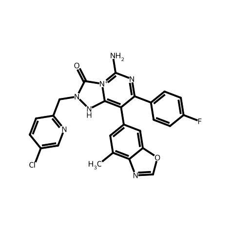 Cc1cc(-c2c(-c3ccc(F)cc3)nc(N)[n+]3c(=O)n(Cc4ccc(Cl)cn4)[nH]c23)cc2ocnc12